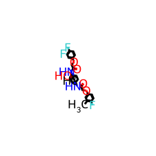 Cc1cc(OCC(=O)NC23CCC(NC(=O)COc4ccc(F)c(F)c4)(CC2)[C@@H](O)C3)ccc1F